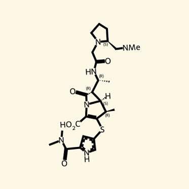 CNC[C@@H]1CCCN1CC(=O)N[C@H](C)[C@H]1C(=O)N2C(C(=O)O)=C(Sc3c[nH]c(C(=O)N(C)C)c3)[C@H](C)[C@H]12